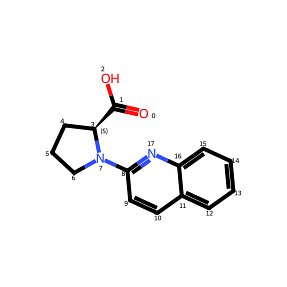 O=C(O)[C@@H]1CCCN1c1ccc2ccccc2n1